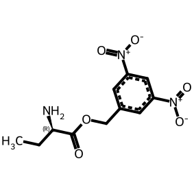 CC[C@@H](N)C(=O)OCc1cc([N+](=O)[O-])cc([N+](=O)[O-])c1